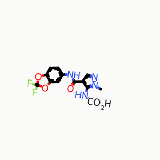 Cn1ncc(C(=O)Nc2ccc3c(c2)OC(F)(F)O3)c1NC(=O)O